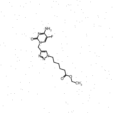 CCOC(=O)CCCCCn1cc(Cn2cc(F)c(N)nc2=O)nn1